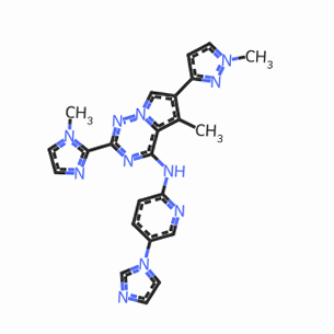 Cc1c(-c2ccn(C)n2)cn2nc(-c3nccn3C)nc(Nc3ccc(-n4ccnc4)cn3)c12